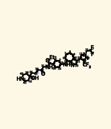 CCc1cc(Nc2ccccc3c(-c4cn(CC(F)F)nc4C(F)(F)F)cnc2-3)ccc1C(=O)NCC(=O)/C=C/CC1(O)CCNCC1